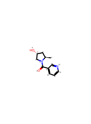 C[C@@H]1C[C@@H](O)CN1C(=O)c1cccnc1